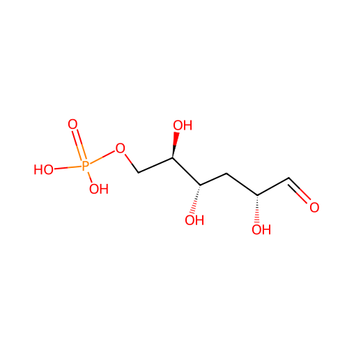 O=C[C@H](O)C[C@H](O)[C@H](O)COP(=O)(O)O